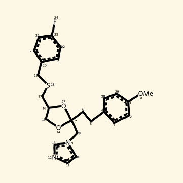 COc1ccc(CCC2(Cn3ccnc3)OCC(CSCc3ccc(F)cc3)O2)cc1